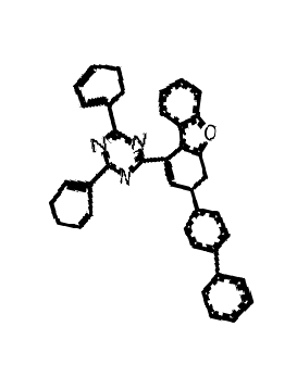 C1=CCCC(c2nc(C3=CCCC=C3)nc(C3=CC(c4ccc(-c5ccccc5)cc4)Cc4oc5ccccc5c43)n2)=C1